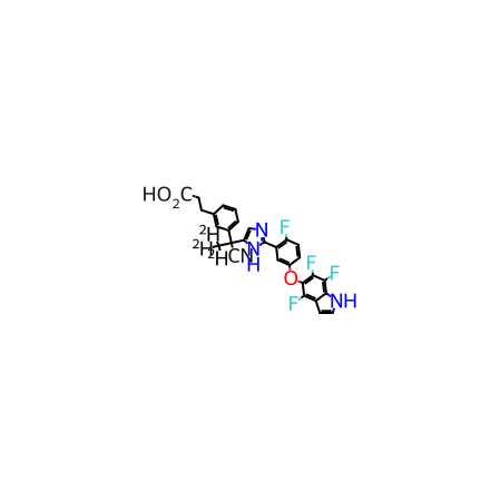 [2H]C([2H])([2H])C(C#N)(c1cccc(CCC(=O)O)c1)c1cnc(-c2cc(Oc3c(F)c(F)c4[nH]ccc4c3F)ccc2F)[nH]1